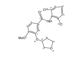 COc1ccc(C(=O)Nc2c(Cl)cccc2Cl)cc1OC1CCOC1